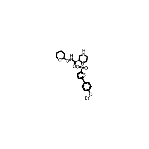 CCOc1ccc(-c2ccc(S(=O)(=O)N3CCNC[C@@H]3C(=O)NOC3CCCCO3)s2)cc1